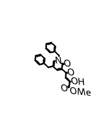 COC(=O)C(O)=CC(=O)c1cc(Cc2ccccc2)cn(Cc2ccccc2)c1=O